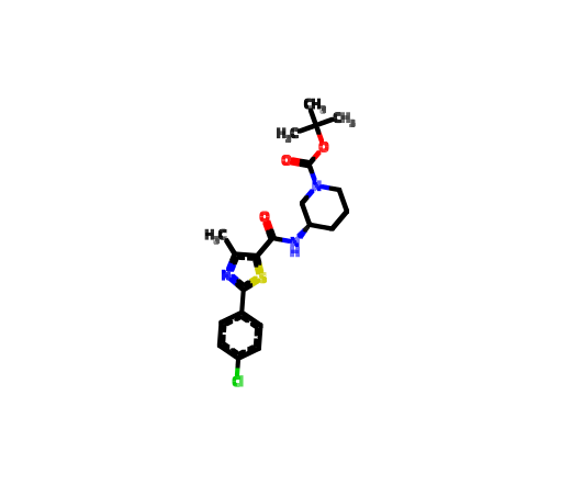 Cc1nc(-c2ccc(Cl)cc2)sc1C(=O)N[C@@H]1CCCN(C(=O)OC(C)(C)C)C1